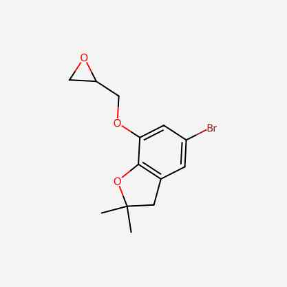 CC1(C)Cc2cc(Br)cc(OCC3CO3)c2O1